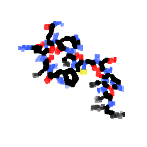 CC(C)C[C@H](NC(=O)[C@H](Cc1c[nH]cn1)NC(=O)[C@H](CCC(N)=O)NC(=O)[C@H](CC(N)=O)NC(=O)[C@@H](NC(=O)[C@@H](N)Cc1ccccc1)C(C)C)C(=O)N[C@@H](CS)C(=O)NCC(=O)N[C@@H](CO)C(=O)N[C@@H](Cc1c[nH]cn1)C(=O)N[C@@H](CC(C)C)C(=O)N[C@H](C(=O)N[C@@H](CCC(=O)O)C(=O)O)C(C)C